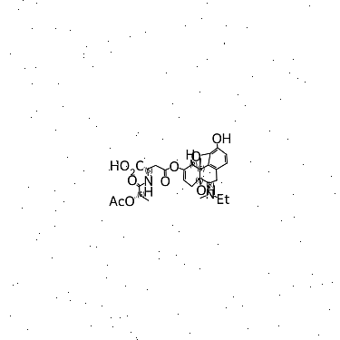 CCN(C)[C@@H]1Cc2ccc(O)c3c2[C@@]2(C)[C@@H](O3)C(OC(=O)C[C@H](NC(=O)[C@H](C)OC(C)=O)C(=O)O)=CC[C@@]12O